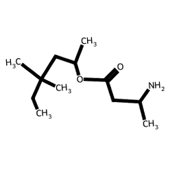 CCC(C)(C)CC(C)OC(=O)CC(C)N